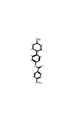 CCCCCc1ccc(C(=O)Oc2ccc(C3CCC(CCCC)CC3)cc2)cc1